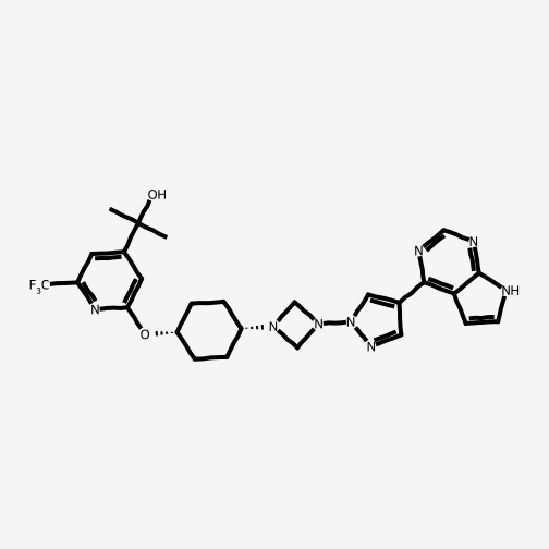 CC(C)(O)c1cc(O[C@H]2CC[C@@H](N3CN(n4cc(-c5ncnc6[nH]ccc56)cn4)C3)CC2)nc(C(F)(F)F)c1